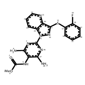 COC(=O)Nc1c(N)nc(-n2nc(Sc3ccccc3F)c3ncccc32)nc1N